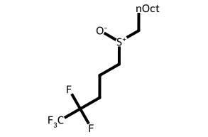 CCCCCCCCC[S+]([O-])CCCC(F)(F)C(F)(F)F